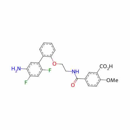 COc1ccc(C(=O)NCCOc2ccccc2-c2cc(N)c(F)cc2F)cc1C(=O)O